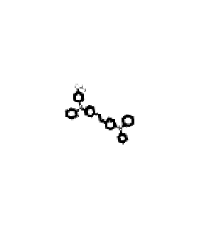 Cc1ccc(N(c2ccccc2)c2ccc(CCc3ccc(N(c4ccccc4)c4ccccc4)cc3)cc2)cc1